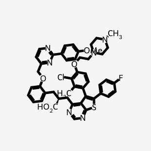 COc1ccc(-c2nccc(COc3ccccc3C[C@@H](Cc3ncnc4sc(-c5ccc(F)cc5)c(-c5ccc(OCCN6CCN(C)CC6)c(Cl)c5C)c34)C(=O)O)n2)cc1